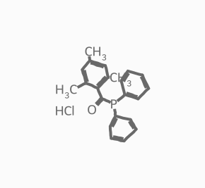 Cc1cc(C)c(C(=O)P(c2ccccc2)c2ccccc2)c(C)c1.Cl